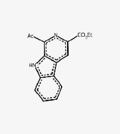 CCOC(=O)c1cc2c([nH]c3ccccc32)c(C(C)=O)n1